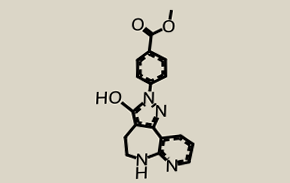 COC(=O)c1ccc(-n2nc3c(c2O)CCNc2ncccc2-3)cc1